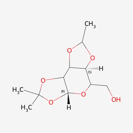 CC1OC2C3OC(C)(C)O[C@H]3OC(CO)[C@@H]2O1